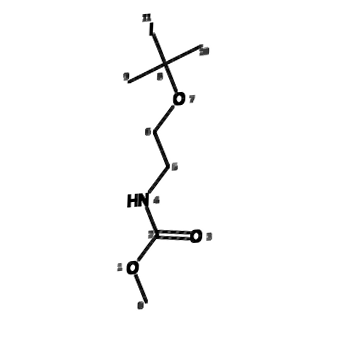 COC(=O)NCCOC(C)(C)I